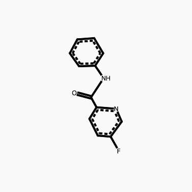 O=C(Nc1ccccc1)c1ccc(F)cn1